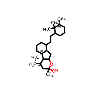 CC(=O)O[C@H]1CCCC(CCC2CCC[C@@]3(C)C2CC2OC(O)(C(F)(F)F)C[C@@H](C)C23)C1(C)C